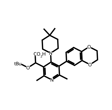 Cc1nc(C)c(C(OC(C)(C)C)C(=O)O)c(N2CCC(C)(C)CC2)c1-c1ccc2c(c1)OCCO2